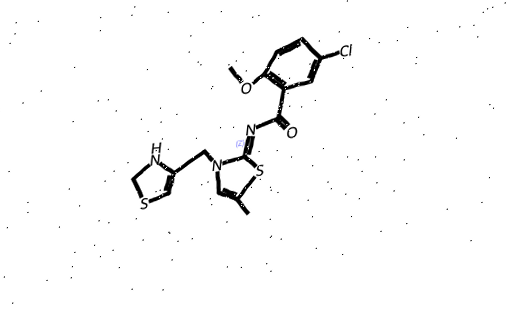 COc1ccc(Cl)cc1C(=O)/N=c1\sc(C)cn1CC1=CSCN1